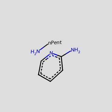 CCCCCN.Nc1ccccn1